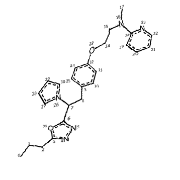 CCCc1nnc(C(Cc2ccc(OCCN(C)c3ccccn3)cc2)n2cccc2)o1